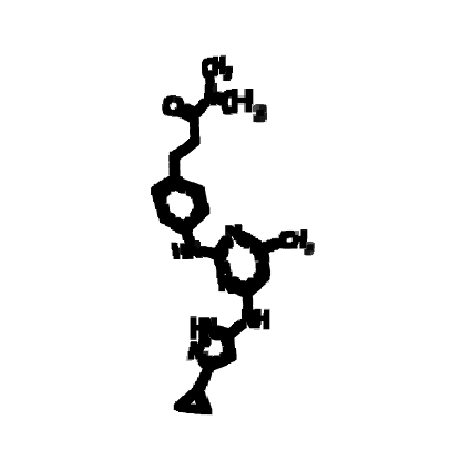 Cc1cc(Nc2cc(C3CC3)n[nH]2)nc(Nc2ccc(CCC(=O)N(C)C)cc2)n1